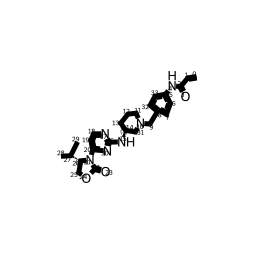 C=CC(=O)Nc1ccc(CN2CCC[C@H](Nc3nccc(N4C(=O)OC[C@@H]4C(C)C)n3)C2)cc1